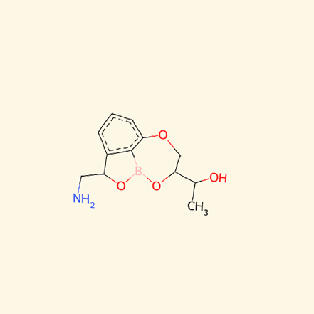 CC(O)C1COc2cccc3c2B(OC3CN)O1